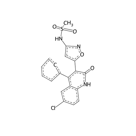 CS(=O)(=O)Nc1cc(-c2c(-c3ccccc3)c3cc(Cl)ccc3[nH]c2=O)on1